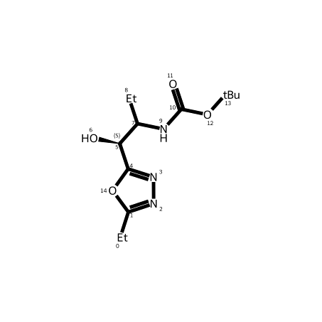 CCc1nnc([C@@H](O)C(CC)NC(=O)OC(C)(C)C)o1